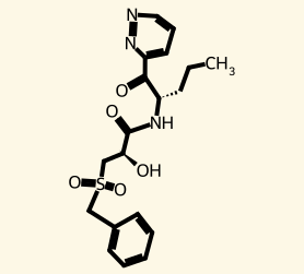 CCC[C@H](NC(=O)[C@@H](O)CS(=O)(=O)Cc1ccccc1)C(=O)c1cccnn1